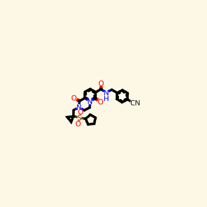 N#Cc1ccc(CNC(=O)c2ccc3n(c2=O)CCN(CC2(S(=O)(=O)C4CCCC4)CC2)C3=O)cc1